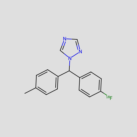 Cc1ccc(C(c2ccc([18F])cc2)n2cncn2)cc1